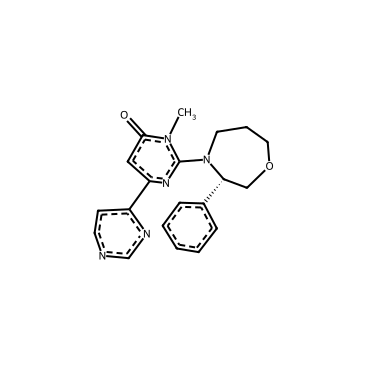 Cn1c(N2CCCOC[C@@H]2c2ccccc2)nc(-c2ccncn2)cc1=O